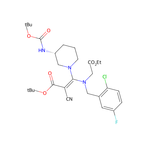 CCOC(=O)CN(Cc1cc(F)ccc1Cl)/C(=C(\C#N)C(=O)OC(C)(C)C)N1CCC[C@@H](NC(=O)OC(C)(C)C)C1